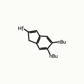 CCCCc1cc2c(cc1CCCC)C[C]([Hf])=C2